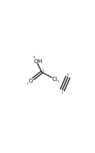 C#C.O=C(O)Cl